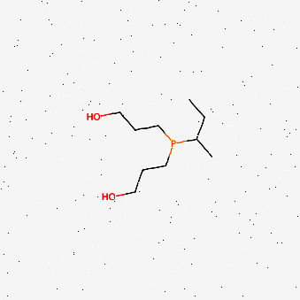 CCC(C)P(CCCO)CCCO